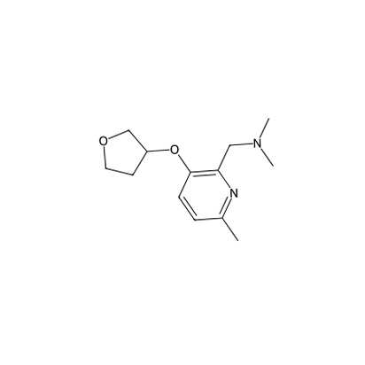 Cc1ccc(OC2CCOC2)c(CN(C)C)n1